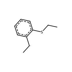 C[CH]c1ccccc1SCC